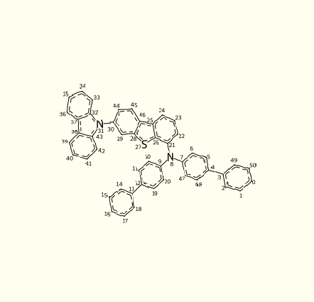 c1ccc(-c2ccc(N(c3ccc(-c4ccccc4)cc3)c3cccc4c3sc3cc(-n5c6ccccc6c6ccccc65)ccc34)cc2)cc1